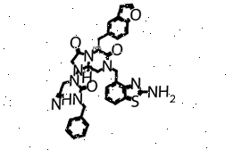 N#CCN(C(=O)NCc1ccccc1)N1CC(=O)N2[C@@H](Cc3ccc4occc4c3)C(=O)N(Cc3cccc4sc(N)nc34)C[C@@H]21